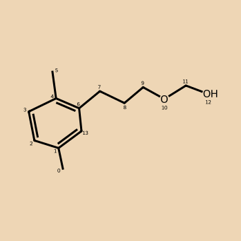 Cc1ccc(C)c(CCCOCO)c1